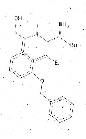 CC/C=c1\c(OCc2ccccc2)ccc\c1=C(/CO)N(C)CC(N)C(C)(C)C